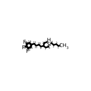 CCCCC[SiH]1CCC(CCCCc2cc(F)c(F)c(F)c2)CC1